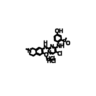 COc1cc2c(cc1Nc1ncc(Cl)c(Nc3ccc(O)cc3P(C)(C)=O)n1)CN(C)CC2.Cl.Cl